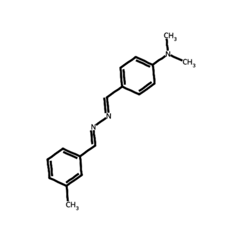 Cc1cccc(/C=N/N=C/c2ccc(N(C)C)cc2)c1